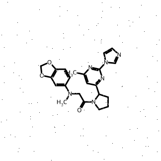 Cc1cc(C2CCCN2C(=O)CN(C)c2ccc3c(c2)OCO3)nc(-n2ccnc2)n1